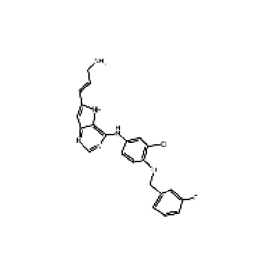 NCC=Cc1cc2ncnc(Nc3ccc(OCc4cccc(F)c4)c(Cl)c3)c2[nH]1